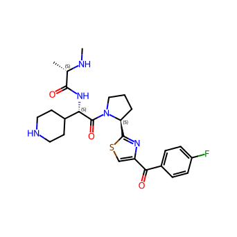 CN[C@@H](C)C(=O)N[C@H](C(=O)N1CCC[C@H]1c1nc(C(=O)c2ccc(F)cc2)cs1)C1CCNCC1